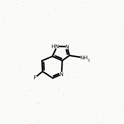 Nc1n[nH]c2cc(F)cnc12